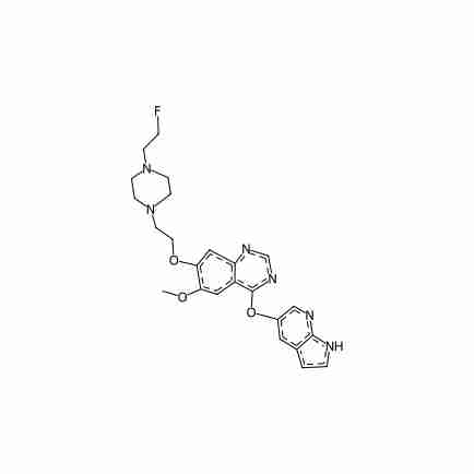 COc1cc2c(Oc3cnc4[nH]ccc4c3)ncnc2cc1OCCN1CCN(CCF)CC1